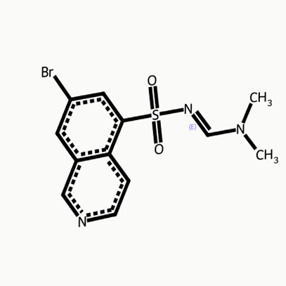 CN(C)/C=N/S(=O)(=O)c1cc(Br)cc2cnccc12